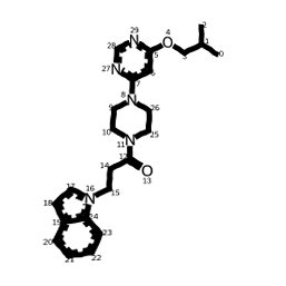 CC(C)COc1cc(N2CCN(C(=O)CCn3ccc4ccccc43)CC2)ncn1